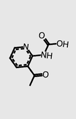 CC(=O)c1cccnc1NC(=O)O